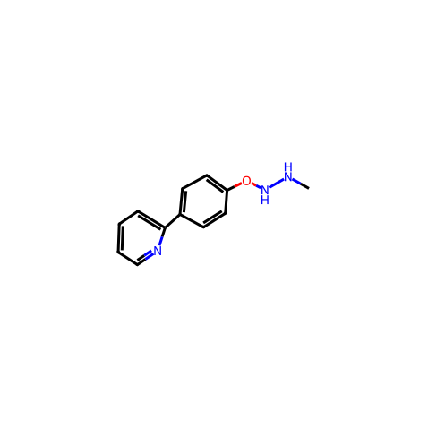 CNNOc1ccc(-c2ccccn2)cc1